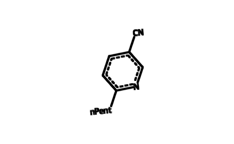 CCCCCc1ccc(C#N)cn1